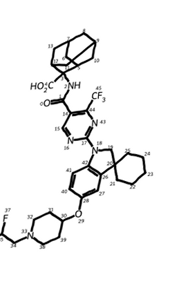 O=C(NC1(C(=O)O)C2CC3CC(C2)CC1C3)c1cnc(N2CC3(CCCCC3)c3cc(OC4CCN(CC(F)F)CC4)ccc32)nc1C(F)(F)F